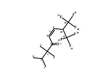 CC(C)C(C)(C)C(=O)/C=C\C(C(F)(F)F)C(F)(F)F